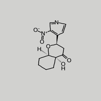 O=C1C[C@H](c2ccncc2[N+](=O)[O-])O[C@@H]2CCCC[C@]12O